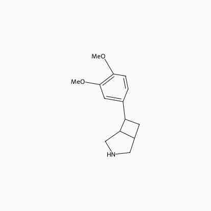 COc1ccc(C2CC3CNCC32)cc1OC